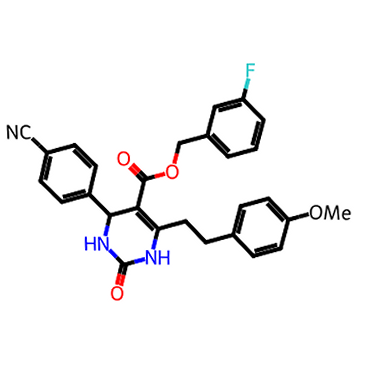 COc1ccc(CCC2=C(C(=O)OCc3cccc(F)c3)C(c3ccc(C#N)cc3)NC(=O)N2)cc1